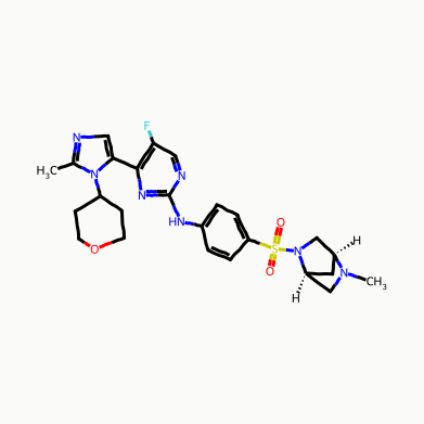 Cc1ncc(-c2nc(Nc3ccc(S(=O)(=O)N4C[C@@H]5C[C@H]4CN5C)cc3)ncc2F)n1C1CCOCC1